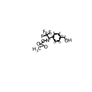 CS(=O)(=O)ON=C(c1ccc(CO)cc1)C(F)(F)F